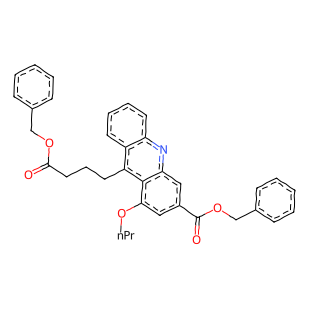 CCCOc1cc(C(=O)OCc2ccccc2)cc2nc3ccccc3c(CCCC(=O)OCc3ccccc3)c12